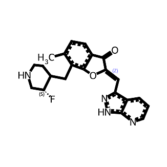 Cc1ccc2c(c1CC1CCNC[C@H]1F)O/C(=C\c1n[nH]c3ncccc13)C2=O